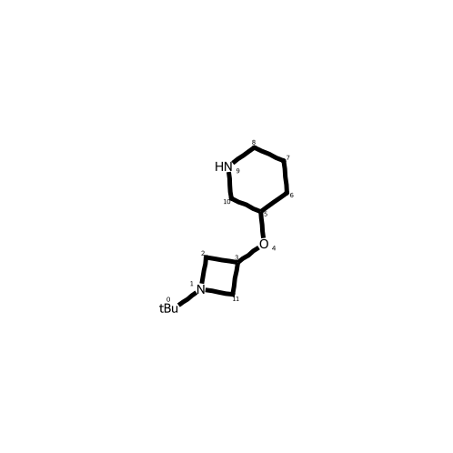 CC(C)(C)N1CC(OC2CCCNC2)C1